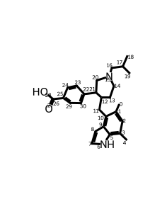 Cc1cc(C)c2[nH]ccc2c1CC1CCN(CC(C)C)CC1c1ccc(C(=O)O)cc1